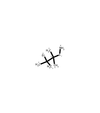 CCC(C)(C)C(C)(C)SN